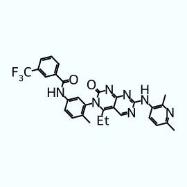 CCc1c2cnc(Nc3ccc(C)nc3C)nc2nc(=O)n1-c1cc(NC(=O)c2cccc(C(F)(F)F)c2)ccc1C